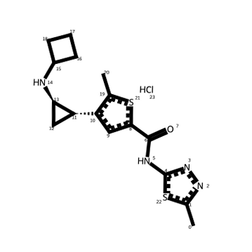 Cc1nnc(NC(=O)c2cc([C@@H]3C[C@H]3NC3CCC3)c(C)s2)s1.Cl